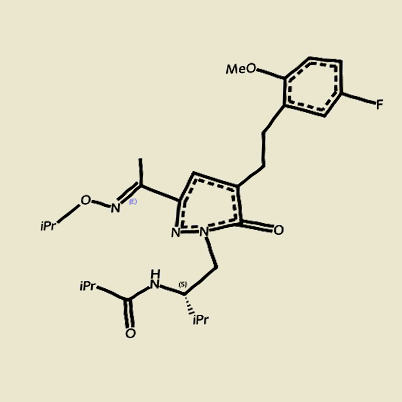 COc1ccc(F)cc1CCc1cc(/C(C)=N/OC(C)C)nn(C[C@@H](NC(=O)C(C)C)C(C)C)c1=O